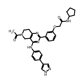 CC(=O)N1CCc2nc(-c3cccc(OCC(=O)NC4CCCC4)c3)nc(Nc3ccc(-c4cn[nH]c4)cc3)c2C1